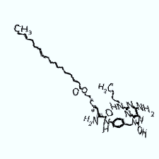 CCCCCCCCCCCCCCCCCC(=O)OCCSC[C@H](N)C(=O)Nc1ccc(Cn2c(O)nc3c(N)nc(NCCCC)nc32)cc1